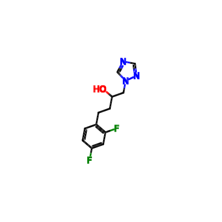 OC(CCc1ccc(F)cc1F)Cn1cncn1